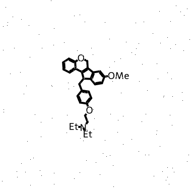 CCN(CC)CCOc1ccc(CC2C3=C(COc4ccccc43)c3cc(OC)ccc32)cc1